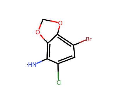 [NH]c1c(Cl)cc(Br)c2c1OCO2